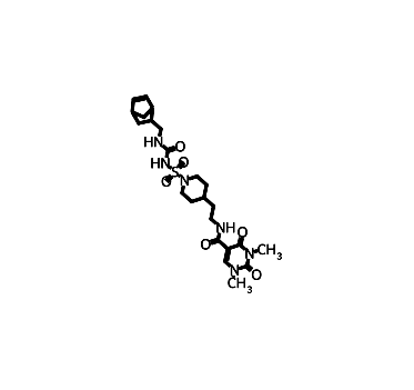 Cn1cc(C(=O)NCCC2CCN(S(=O)(=O)NC(=O)NCC3CC4C=CC3C4)CC2)c(=O)n(C)c1=O